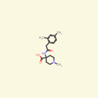 Cc1ccc(CC(=O)NC2(C(=O)O)CCN(C)CC2)c(C)c1